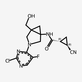 N#C[C@@H]1C[C@H]1C(=O)NC12CN(c3nc(Cl)ncc3F)CC1(CO)C2